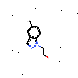 Cc1[c]cc2c(cnn2CCO)c1